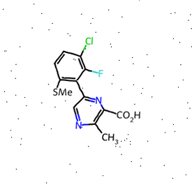 CSc1ccc(Cl)c(F)c1-c1cnc(C)c(C(=O)O)n1